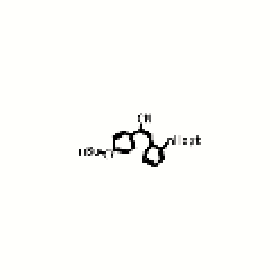 CCCCCCCc1ccccc1C=C(C#N)c1ccc(OCCCC)cc1